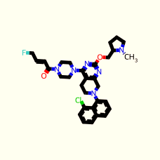 CN1CCCC1COc1nc2c(c(N3CCN(C(=O)/C=C/CF)CC3)n1)CCN(c1cccc3cccc(Cl)c13)C2